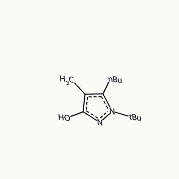 CCCCc1c(C)c(O)nn1C(C)(C)C